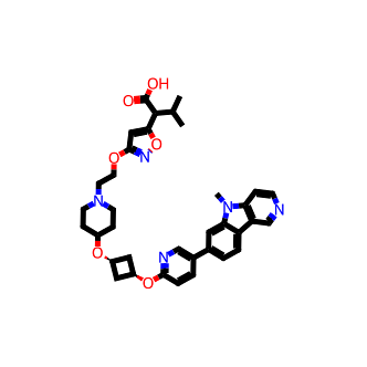 CC(C)C(C(=O)O)c1cc(OCCN2CCC(O[C@H]3C[C@H](Oc4ccc(-c5ccc6c7cnccc7n(C)c6c5)cn4)C3)CC2)no1